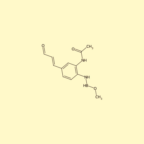 COBNc1ccc(/C=C/C=O)cc1NC(C)=O